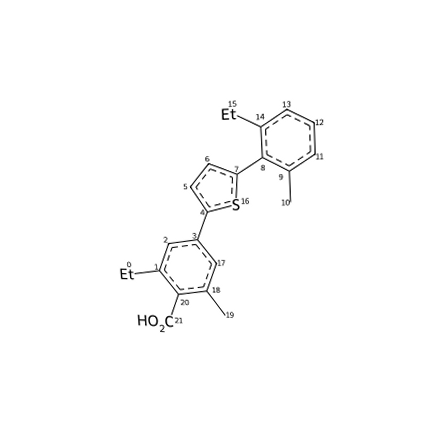 CCc1cc(-c2ccc(-c3c(C)cccc3CC)s2)cc(C)c1C(=O)O